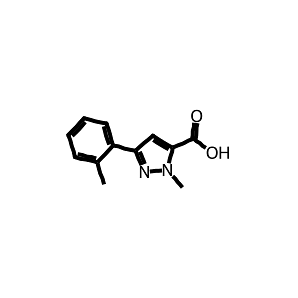 Cc1ccccc1-c1cc(C(=O)O)n(C)n1